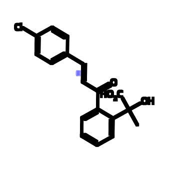 CC(O)(C(=O)O)c1ccccc1C(=O)/C=C/c1ccc(Cl)cc1